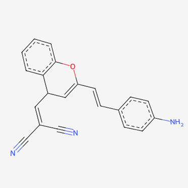 N#CC(C#N)=CC1C=C(/C=C/c2ccc(N)cc2)Oc2ccccc21